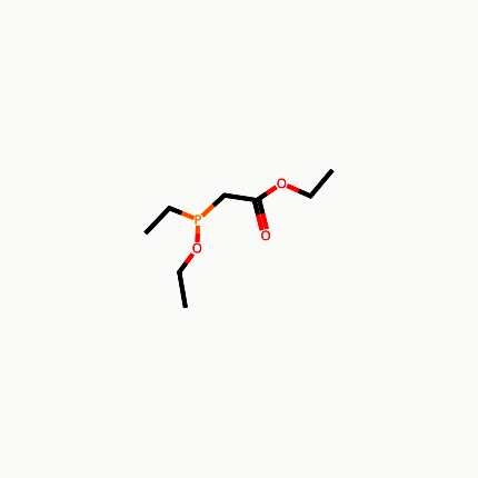 CCOC(=O)CP(CC)OCC